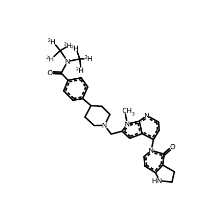 [2H]C([2H])([2H])N(C(=O)c1ccc(C2CCN(Cc3cc4c(-n5ccc6c(c5=O)CCN6)ccnc4n3C)CC2)cc1)C([2H])([2H])[2H]